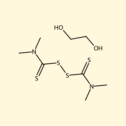 CN(C)C(=S)SSC(=S)N(C)C.OCCO